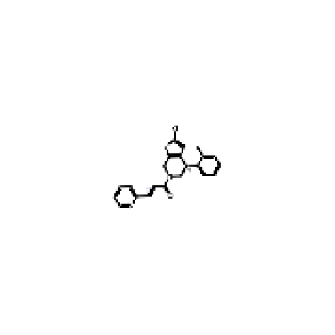 Cc1ccccc1[C@H]1CN(C(=O)/C=C/c2ccccn2)Cc2sc(Cl)cc21